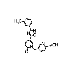 C#Cc1ccc(Cn2cc(-c3nc(-c4cccc(C)c4)no3)ccc2=O)cn1